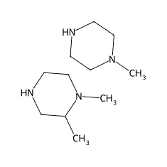 CC1CNCCN1C.CN1CCNCC1